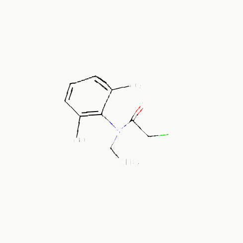 CCCc1cccc(CCC)c1N(CC=O)C(=O)CCl